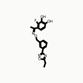 CCc1nc(-c2cccc(CON=C(C)c3ccc(O)c(O)c3F)c2)no1